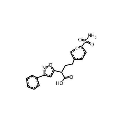 NS(=O)(=O)c1ccc(CCC(C(=O)O)c2cc(-c3ccccc3)no2)cc1